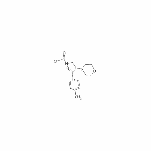 Cc1ccc(C2=NN(C(=O)Cl)CC2N2CCOCC2)cc1